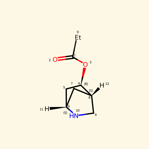 CCC(=O)O[C@@H]1C[C@@H]2C[C@H]1CN2